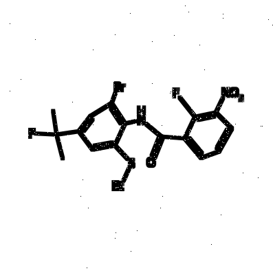 CCSc1cc(C(C)(C)F)cc(Br)c1NC(=O)c1cccc([N+](=O)[O-])c1F